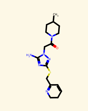 CC1CCN(C(=O)Cn2nc(SCC3=NCCC=C3)nc2N)CC1